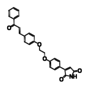 O=C1C=C(c2ccc(OCCOc3ccc(C=CC(=O)c4ccccc4)cc3)cc2)C(=O)N1